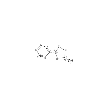 O[C@H]1CC[C@@H](c2cccnc2)C1